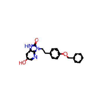 O=c1[nH]c2cc(O)cnc2n1CCc1ccc(OCc2ccccc2)cc1